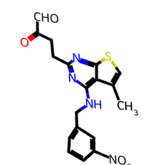 Cc1csc2nc(CCC(=O)C=O)nc(NCc3cccc([N+](=O)[O-])c3)c12